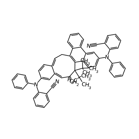 C=C1/C=c2/cc(N(c3ccccc3)c3ccccc3C#N)cc/c2=C/Cc2c(c3ccc(N(c4ccccc4)c4ccccc4C#N)cc3c3ccccc23)C1(C(C)(C)C)C(C)(C)C